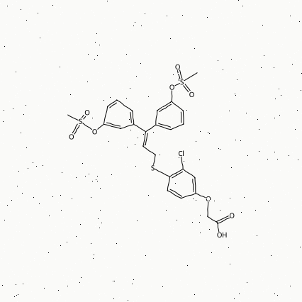 CS(=O)(=O)Oc1cccc(C(=CCSc2ccc(OCC(=O)O)cc2Cl)c2cccc(OS(C)(=O)=O)c2)c1